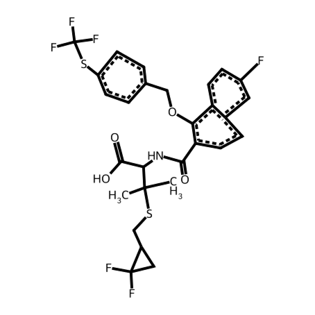 CC(C)(SCC1CC1(F)F)C(NC(=O)c1ccc2cc(F)ccc2c1OCc1ccc(SC(F)(F)F)cc1)C(=O)O